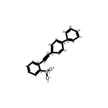 O=[N+]([O-])c1ccccc1C#Cc1ccc(-c2ccccc2)cc1